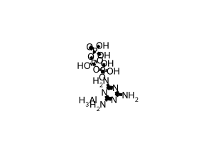 Nc1nc(N)nc(N)n1.O=P(O)(O)OP(=O)(O)OP(=O)(O)O.[AlH3]